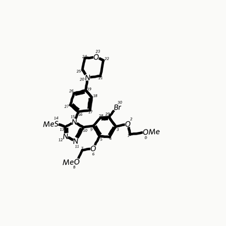 COCOc1cc(OCOC)c(-c2nnc(SC)n2-c2ccc(N3CCOCC3)cc2)cc1Br